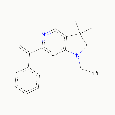 C=C(c1ccccc1)c1cc2c(cn1)C(C)(C)CN2C[C](C)C